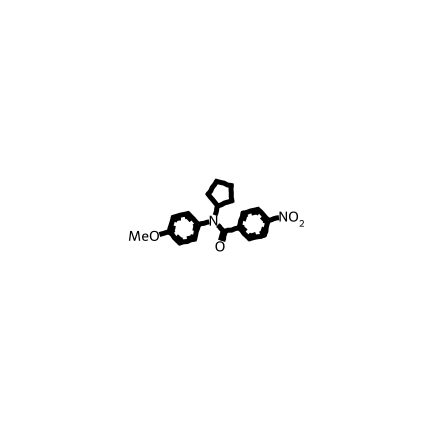 COc1ccc(N(C(=O)c2ccc([N+](=O)[O-])cc2)C2CCCC2)cc1